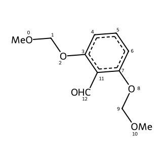 COCOc1cccc(OCOC)c1C=O